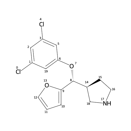 Clc1cc(Cl)cc(O[C@@H](c2ccco2)[C@H]2CCNC2)c1